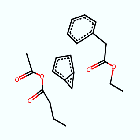 CCCC(=O)OC(C)=O.CCOC(=O)Cc1ccccc1.c1cc2cc-2c1